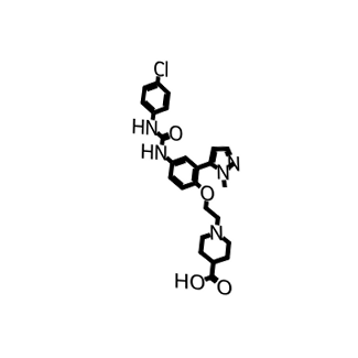 Cn1nccc1-c1cc(NC(=O)Nc2ccc(Cl)cc2)ccc1OCCN1CCC(C(=O)O)CC1